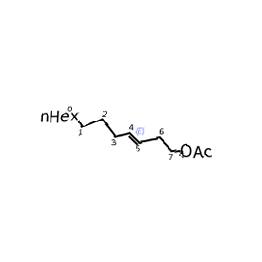 CCCCCCCCC/C=C/CCOC(C)=O